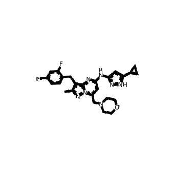 Cc1nn2c(CN3CCOCC3)cc(Nc3cc(C4CC4)[nH]n3)nc2c1Cc1ccc(F)cc1F